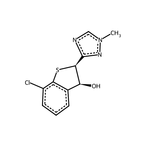 Cn1cnc([C@@H]2Sc3c(Cl)cccc3[C@@H]2O)n1